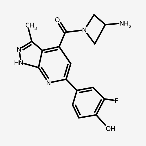 Cc1n[nH]c2nc(-c3ccc(O)c(F)c3)cc(C(=O)N3CC(N)C3)c12